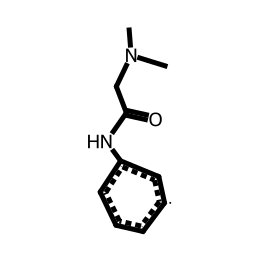 CN(C)CC(=O)Nc1c[c]ccc1